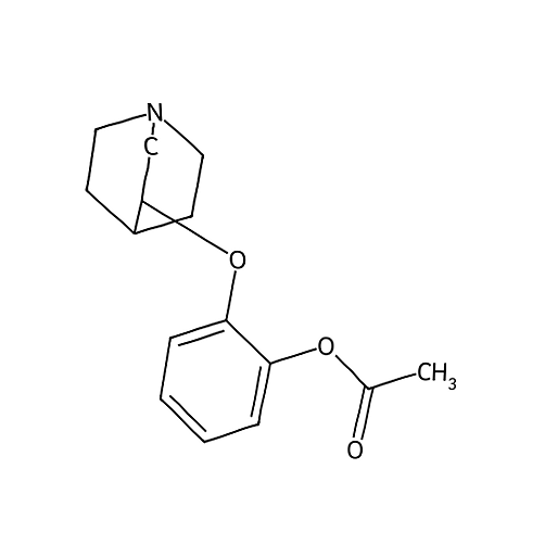 CC(=O)Oc1ccccc1OC1CN2CCC1CC2